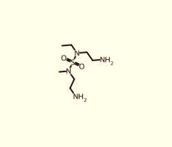 CCN(CCN)S(=O)(=O)N(C)CCN